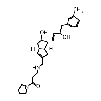 Cc1cccc(C[C@@H](O)/C=C/[C@@H]2[C@H]3CC(CNCCC(=O)N4CCCC4)=C[C@H]3C[C@H]2O)c1